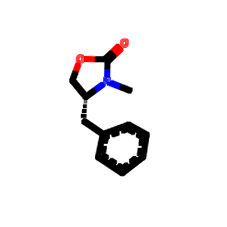 CN1C(=O)OC[C@H]1Cc1ccccc1